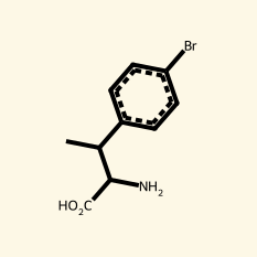 CC(c1ccc(Br)cc1)C(N)C(=O)O